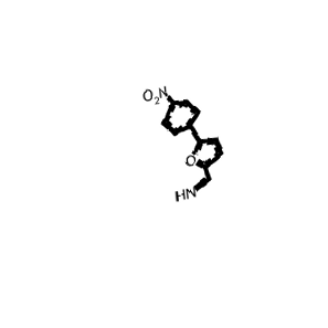 N=Cc1ccc(-c2ccc([N+](=O)[O-])cc2)o1